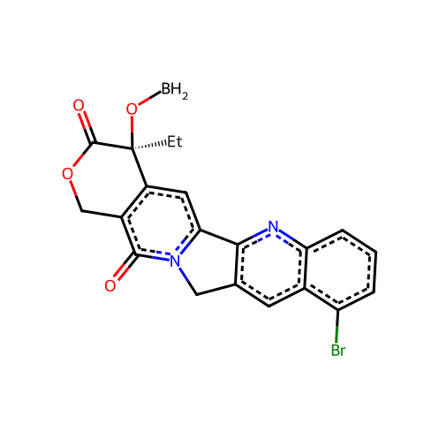 BO[C@]1(CC)C(=O)OCc2c1cc1n(c2=O)Cc2cc3c(Br)cccc3nc2-1